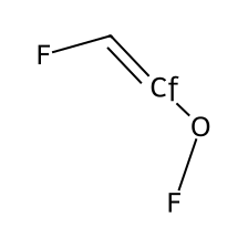 F[CH]=[Cf][O]F